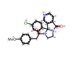 COc1ccc(CC(=O)N2CCN3C(=O)c4ccncc4C23c2ccc(Cl)cc2)cc1